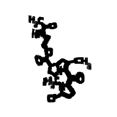 CC(=O)NCCOC(=O)C1CCn2c1cc(C)c2C(=O)c1ccc(Cl)n1C